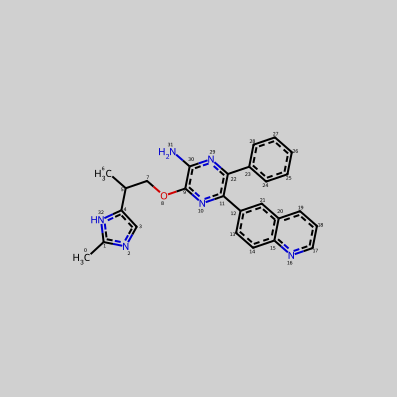 Cc1ncc(C(C)COc2nc(-c3ccc4ncccc4c3)c(-c3ccccc3)nc2N)[nH]1